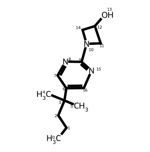 CCCC(C)(C)c1cnc(N2CC(O)C2)nc1